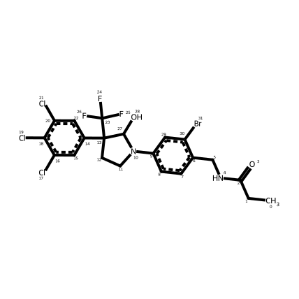 CCC(=O)NCc1ccc(N2CCC(c3cc(Cl)c(Cl)c(Cl)c3)(C(F)(F)F)C2O)cc1Br